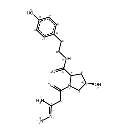 N/N=C(\N)CC(=O)N1C[C@H](O)CC1C(=O)NCCc1ccc(O)cc1